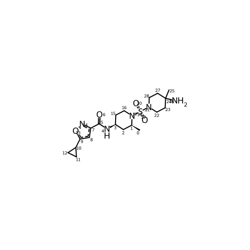 C[C@H]1C[C@@H](NC(=O)c2cc(C3CC3)on2)CCN1S(=O)(=O)N1CCC(C)(N)CC1